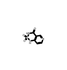 O=C1NS(=O)(=O)Nc2ccncc21